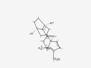 CCOC(=O)c1nnn(C2C[C@H]3CC[C@@H](C2)N3C(=O)OC(C)(C)C)c1C